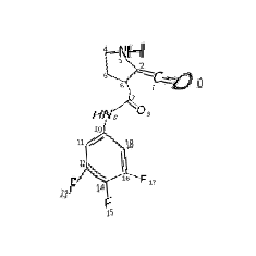 O=C=C1NCCC1C(=O)Nc1cc(F)c(F)c(F)c1